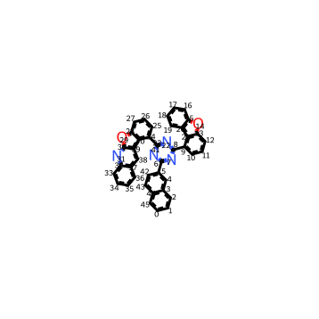 c1ccc2cc(-c3nc(-c4cccc5oc6ccccc6c45)nc(-c4cccc5oc6nc7ccccc7cc6c45)n3)ccc2c1